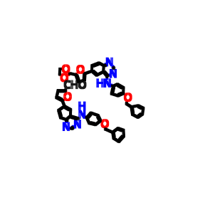 O=Cc1ccc(-c2ccc3ncnc(Nc4ccc(OCc5ccccc5)cc4)c3c2)o1.c1ccc(COc2ccc(Nc3ncnc4ccc(-c5ccc(C6OCCO6)o5)cc34)cc2)cc1